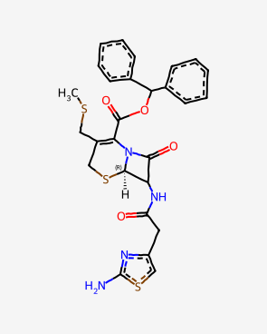 CSCC1=C(C(=O)OC(c2ccccc2)c2ccccc2)N2C(=O)C(NC(=O)Cc3csc(N)n3)[C@H]2SC1